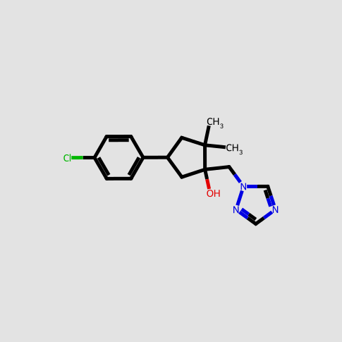 CC1(C)CC(c2ccc(Cl)cc2)CC1(O)Cn1cncn1